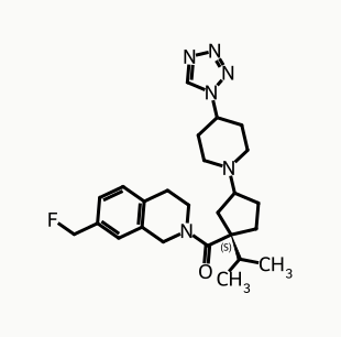 CC(C)[C@]1(C(=O)N2CCc3ccc(CF)cc3C2)CCC(N2CCC(n3cnnn3)CC2)C1